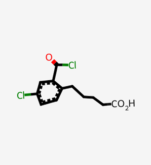 O=C(O)CCCCc1ccc(Cl)cc1C(=O)Cl